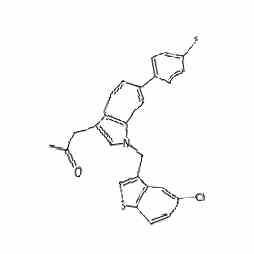 CC(=O)Cc1cn(Cc2csc3ccc(Cl)cc23)c2cc(-c3ccc(F)cc3)ccc12